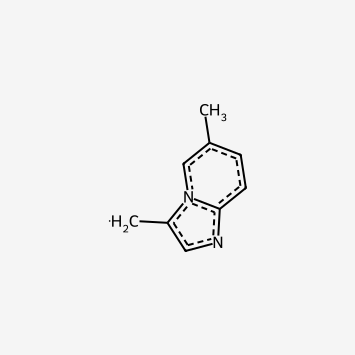 [CH2]c1cnc2ccc(C)cn12